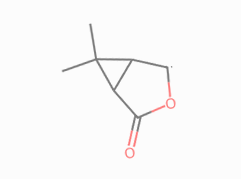 CC1(C)C2[CH]OC(=O)C21